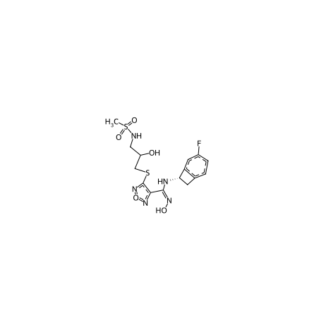 CS(=O)(=O)NCC(O)CSc1nonc1/C(=N\O)N[C@H]1Cc2ccc(F)cc21